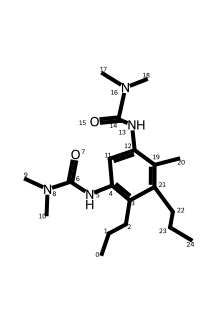 CCCc1c(NC(=O)N(C)C)cc(NC(=O)N(C)C)c(C)c1CCC